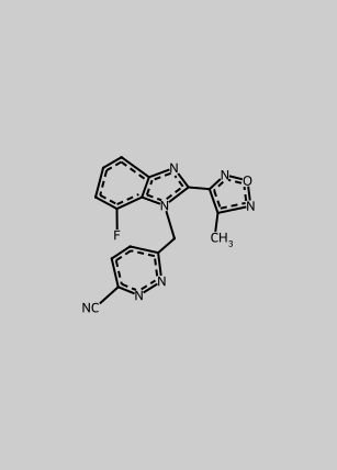 Cc1nonc1-c1nc2cccc(F)c2n1Cc1ccc(C#N)nn1